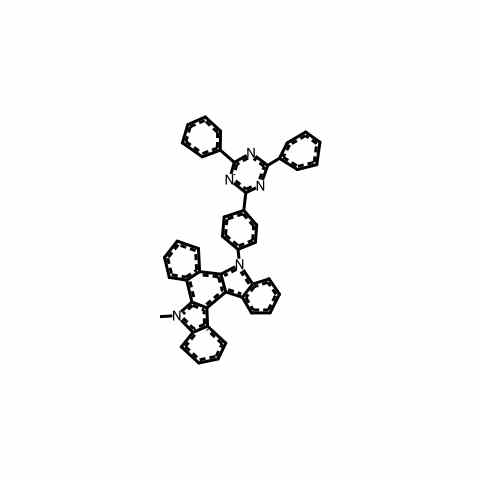 Cn1c2ccccc2c2c3c4ccccc4n(-c4ccc(-c5nc(-c6ccccc6)nc(-c6ccccc6)n5)cc4)c3c3ccccc3c21